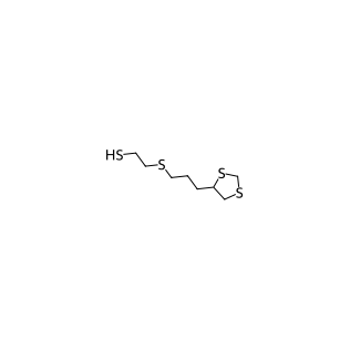 SCCSCCCC1CSCS1